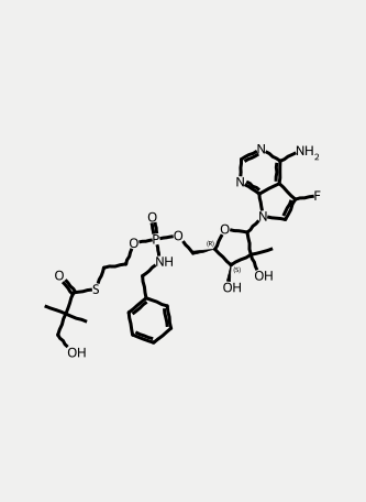 CC(C)(CO)C(=O)SCCOP(=O)(NCc1ccccc1)OC[C@H]1OC(n2cc(F)c3c(N)ncnc32)C(C)(O)[C@H]1O